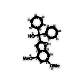 COc1cc(OC)c2cc(C(O)(c3ccccc3)c3ccccc3)oc2c1